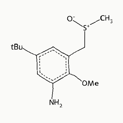 COc1c(N)cc(C(C)(C)C)cc1C[S+](C)[O-]